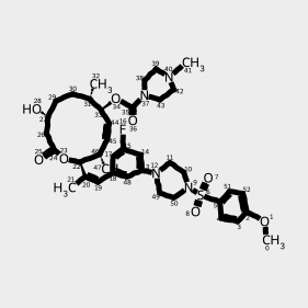 COc1ccc(S(=O)(=O)N2CCN(c3cc(F)cc(/C=C(/C)[C@H]4OC(=O)C[C@H](O)CC[C@H](C)[C@@H](OC(=O)N5CCN(C)CC5)/C=C\[C@@H]4C)c3)CC2)cc1